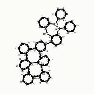 c1ccc(B2c3ccccc3Oc3c(-c4ccc5c(c4)c4cccc6c4-c4c(cccc4c4ccccc45)c4ccccc4c4ccccc64)cccc3N2c2ccccc2)cc1